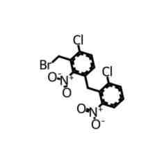 O=[N+]([O-])c1cccc(Cl)c1Cc1ccc(Cl)c(CBr)c1[N+](=O)[O-]